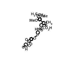 COc1cc(-c2cn(C)c(=O)c3c2CCN(C(=O)NC2CCN(CCOc4ccc5c(c4)C(=O)N(C4CCC(=O)NC4=O)C5=O)CC2)C3C(=O)O)cc(OC)c1CN(C)C